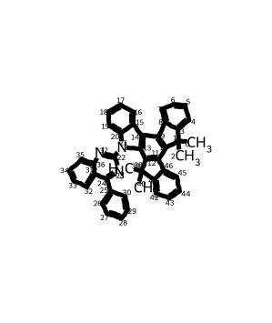 CC1(C)c2ccccc2-c2c1c1c(c3c2c2ccccc2n3-c2nc(-c3ccccc3)c3ccccc3n2)C(C)(C)c2ccccc2-1